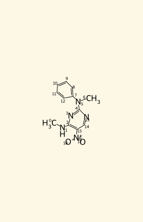 CNc1nc(N(C)c2ccccc2)ncc1[N+](=O)[O-]